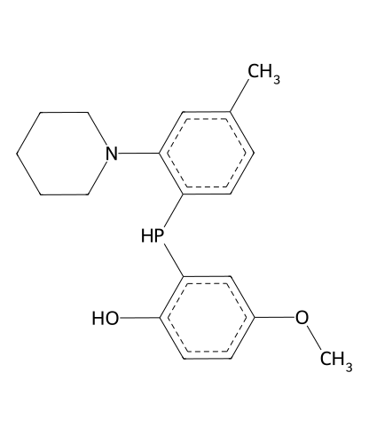 COc1ccc(O)c(Pc2ccc(C)cc2N2CCCCC2)c1